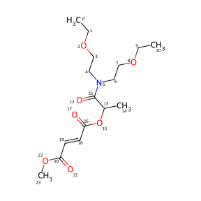 CCOCCN(CCOCC)C(=O)C(C)OC(=O)/C=C/C(=O)OC